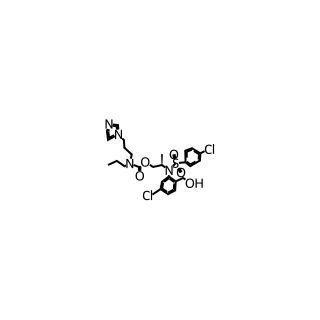 CCCN(CCCn1ccnc1)C(=O)OC[C@@H](C)N(c1cc(Cl)ccc1CO)S(=O)(=O)c1ccc(Cl)cc1